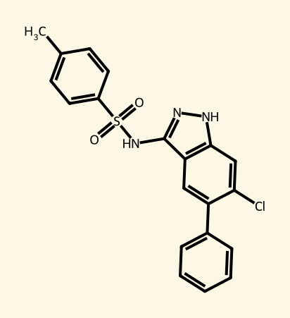 Cc1ccc(S(=O)(=O)Nc2n[nH]c3cc(Cl)c(-c4ccccc4)cc23)cc1